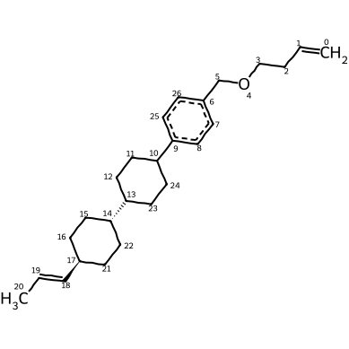 C=CCCOCc1ccc(C2CCC([C@H]3CC[C@H](/C=C/C)CC3)CC2)cc1